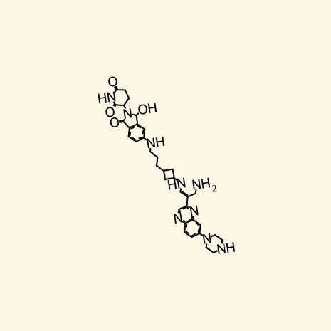 NC/C(=C\NC1CC(CCCNc2ccc3c(c2)C(O)N(C2CCC(=O)NC2=O)C3=O)C1)c1cnc2ccc(N3CCNCC3)cc2n1